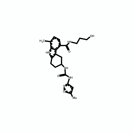 Cc1ccc(C(=O)NCCCO)c2c3c([nH]c12)CCC(NC(=O)Nc1cc(C(C)(C)C)on1)C3